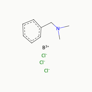 CN(C)Cc1ccccc1.[B+3].[Cl-].[Cl-].[Cl-]